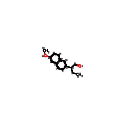 CCC(C=O)c1ccc2cc(OC)ccc2c1